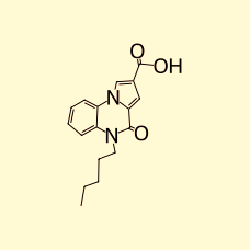 CCCCCn1c(=O)c2cc(C(=O)O)cn2c2ccccc21